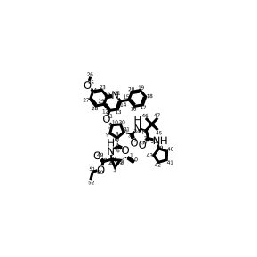 C=C[C@@H]1C[C@]1(NC(=O)[C@@H]1C[C@@H](Oc2cc(-c3ccccc3)nc3cc(OC)ccc23)C[C@H]1C(=O)N[C@H](C(=O)NC1CCCC1)C(C)(C)C)C(=O)OCC